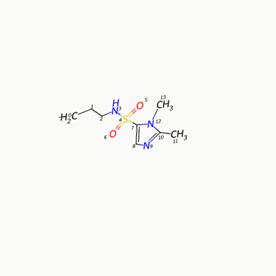 [CH2]CCNS(=O)(=O)c1cnc(C)n1C